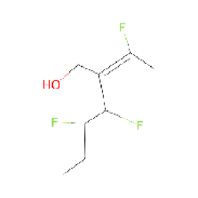 CCC(F)C(F)/C(CO)=C(\C)F